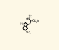 CCNC(Cc1c[nH]c2ccc(N)cc12)C(=O)O